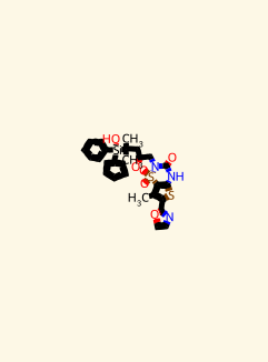 Cc1c(-c2ncco2)sc2c1S(=O)(=O)N(CC(=O)CC(C)(C)[Si](O)(c1ccccc1)c1ccccc1)C(=O)N2